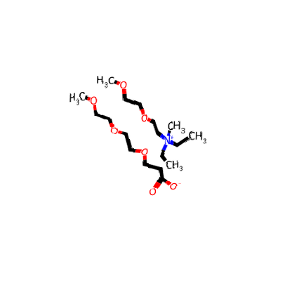 CC[N+](C)(CC)CCOCCOC.COCCOCCOCCC(=O)[O-]